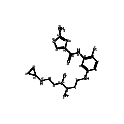 CCCN(CCNc1ccc(CC)c(NC(=O)c2coc(N)n2)c1)[S+]([O-])CCNC1CC1